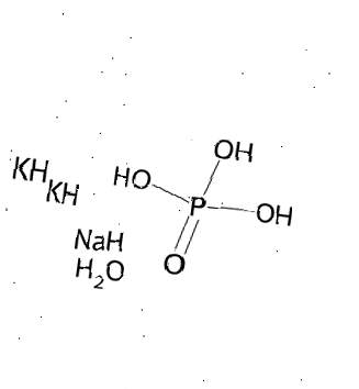 O.O=P(O)(O)O.[KH].[KH].[NaH]